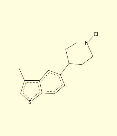 Cc1csc2ccc(C3CCN(Cl)CC3)cc12